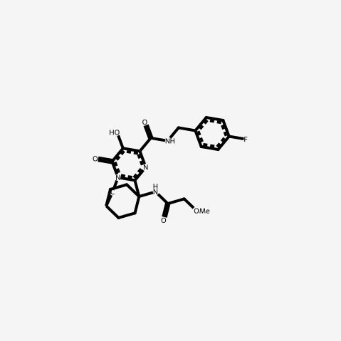 COCC(=O)NC12CCC(CC1)Cn1c2nc(C(=O)NCc2ccc(F)cc2)c(O)c1=O